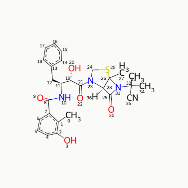 Cc1c(O)cccc1C(=O)N[C@@H](Cc1ccccc1)[C@H](O)C(=O)N1CSC2(C)[C@H]1C(=O)N2C(C)(C)C#N